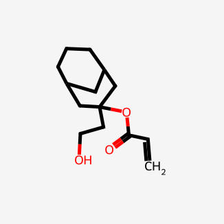 C=CC(=O)OC1(CCO)CC2CCCC(C2)C1